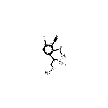 COCC(OC)c1ccc(F)c(C#N)c1OC